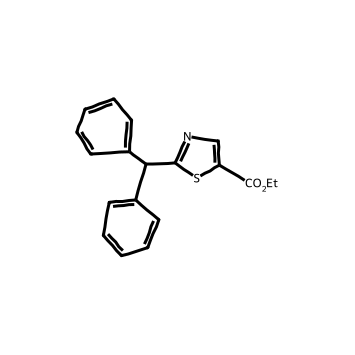 CCOC(=O)c1cnc(C(c2ccccc2)c2ccccc2)s1